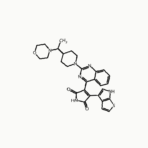 CC(C1CCN(c2nc(C3=C(c4c[nH]c5sccc45)C(=O)NC3=O)c3ccccc3n2)CC1)N1CCOCC1